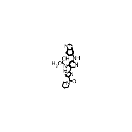 CC(C)Nc1cc(Nc2ccc3ncsc3c2)ncc1-c1nc(C(=O)N2CCCC2)cs1